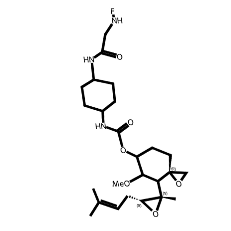 COC1C(OC(=O)NC2CCC(NC(=O)CNF)CC2)CC[C@]2(CO2)C1[C@]1(C)O[C@@H]1CC=C(C)C